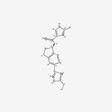 CCc1nc(-c2ccc3c(c2)CC[C@H]3CC(=O)c2csc(C)n2)no1